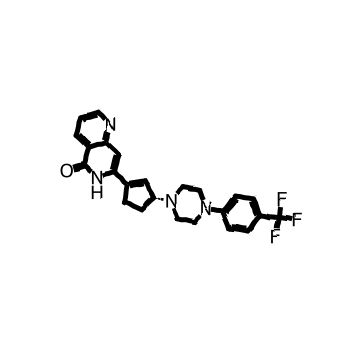 O=c1[nH]c(C2=C[C@H](N3CCN(c4ccc(C(F)(F)F)cc4)CC3)CC2)cc2ncccc12